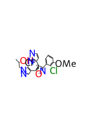 COc1cccc(-c2noc(-c3cnn(CC(C)O)c3C(F)(F)F)c2-c2ccncn2)c1Cl